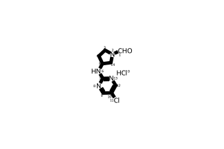 Cl.O=CN1CCC(Nc2ncc(Cl)cn2)C1